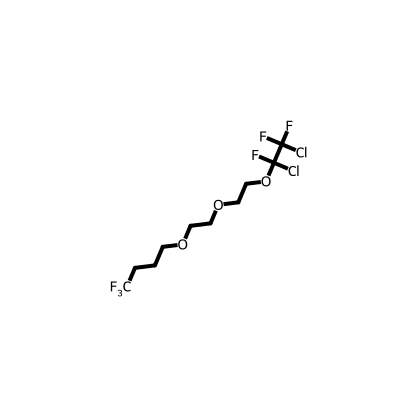 FC(F)(F)CCCOCCOCCOC(F)(Cl)C(F)(F)Cl